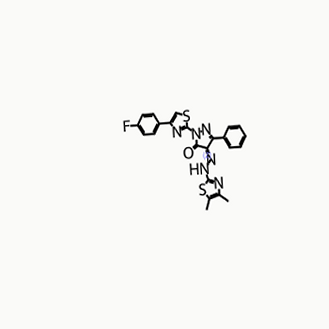 Cc1nc(N/N=C2\C(=O)N(c3nc(-c4ccc(F)cc4)cs3)N=C2c2ccccc2)sc1C